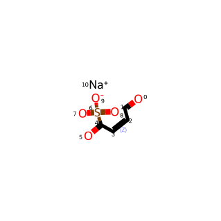 O=C/C=C\C(=O)S(=O)(=O)[O-].[Na+]